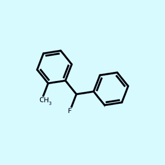 Cc1ccccc1C(F)c1[c]cccc1